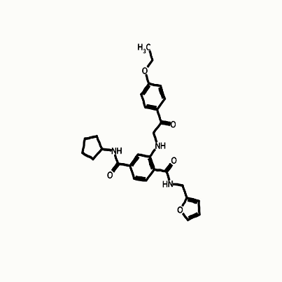 CCOc1ccc(C(=O)CNc2cc(C(=O)NC3CCCC3)ccc2C(=O)NCc2ccco2)cc1